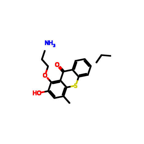 CCC.CCCOc1c(O)cc(C)c2sc3ccccc3c(=O)c12.N